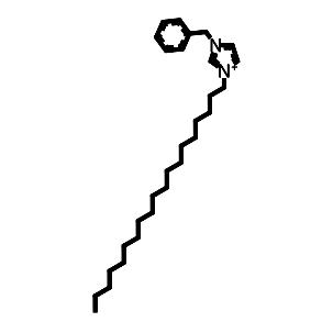 CCCCCCCCCCCCCCCCCCC[n+]1ccn(Cc2ccccc2)c1